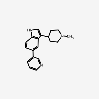 CN1CCC(c2c[nH]c3ccc(-c4cccnc4)cc23)CC1